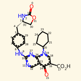 O=C1N[C@@H](Cc2ccc(Nc3ncc4c(=O)c(C(=O)O)cn(C5CCCCC5)c4n3)cc2)CO1